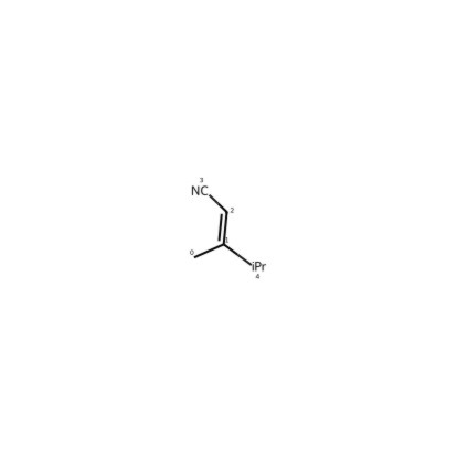 CC(=CC#N)C(C)C